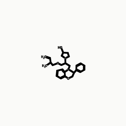 C=CC(C)COCC(CN1c2ccccc2OCC1c1ccccc1)N1CCC(O)C1